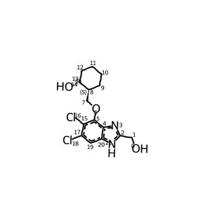 OCc1nc2c(OC[C@@H]3CCCC[C@H]3O)c(Cl)c(Cl)cc2[nH]1